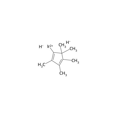 CC1=C(C)C(C)(C)[C]([Ir+2])=C1C.[H-].[H-]